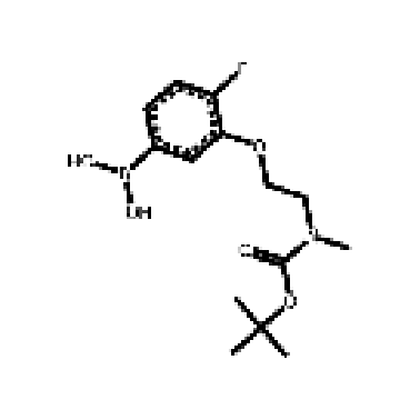 CN(CCOc1cc(B(O)O)ccc1F)C(=O)OC(C)(C)C